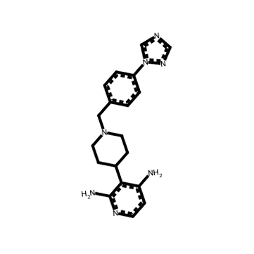 Nc1ccnc(N)c1C1CCN(Cc2ccc(-n3cncn3)cc2)CC1